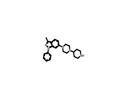 Cc1nn(-c2ccccc2)c2cc(N3CCN(C4CCNCC4)CC3)ccc12